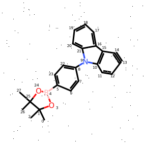 CC1(C)OB(c2ccc(-n3c4ccc#cc4c4ccccc43)cc2)OC1(C)C